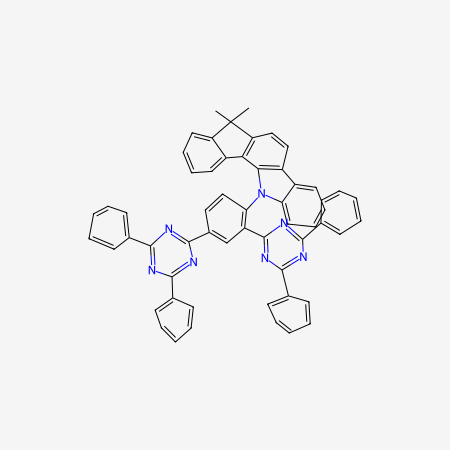 CC1(C)c2ccccc2-c2c1ccc1c3ccccc3n(-c3ccc(-c4nc(-c5ccccc5)nc(-c5ccccc5)n4)cc3-c3nc(-c4ccccc4)nc(-c4ccccc4)n3)c21